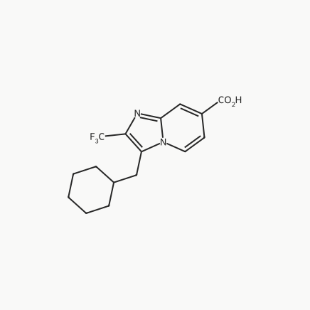 O=C(O)c1ccn2c(CC3CCCCC3)c(C(F)(F)F)nc2c1